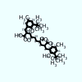 Cc1cc(CC(CC(=O)CCC(=O)CC(Cc2cc(C)cc(C(C)(C)C)c2O)C(=O)O)C(=O)O)c(O)c(C(C)(C)C)c1